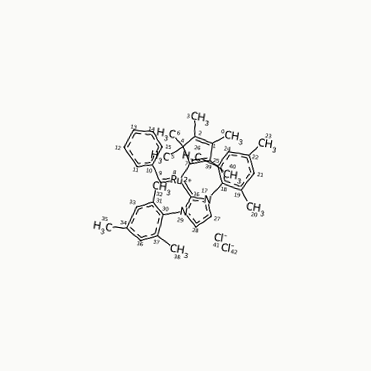 CC1=C(C)C(C)(C)[C]([Ru+2](=[CH]c2ccccc2)=[c]2n(-c3c(C)cc(C)cc3C)ccn2-c2c(C)cc(C)cc2C)=C1C.[Cl-].[Cl-]